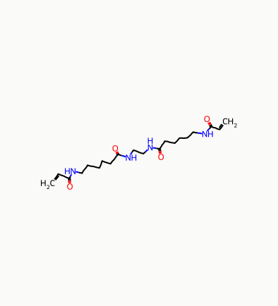 C=CC(=O)NCCCCCC(=O)NCCNC(=O)CCCCCNC(=O)C=C